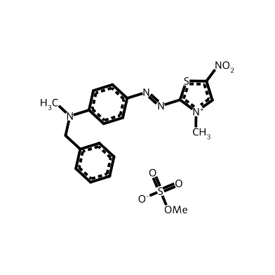 CN(Cc1ccccc1)c1ccc(N=Nc2sc([N+](=O)[O-])c[n+]2C)cc1.COS(=O)(=O)[O-]